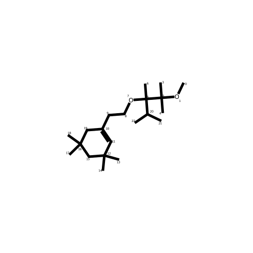 COC(C)(C)C(C)(OCCC1=CC(C)(C)CC(C)(C)C1)C(C)C